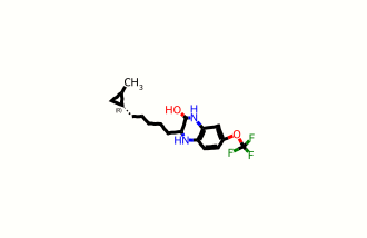 CC1C[C@H]1CCCCCC1Nc2ccc(OC(F)(F)F)cc2NC1O